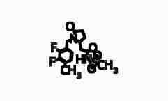 Cc1ccc(CN2C(=O)CCC2CC(=O)NS(C)(=O)=O)c(F)c1F